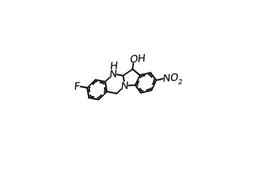 O=[N+]([O-])c1ccc2c(c1)C(O)C1Nc3cc(F)ccc3CN21